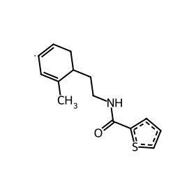 CC1=C[C]=CCC1CCNC(=O)c1cccs1